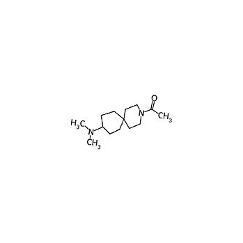 CC(=O)N1CCC2(CCC(N(C)C)CC2)CC1